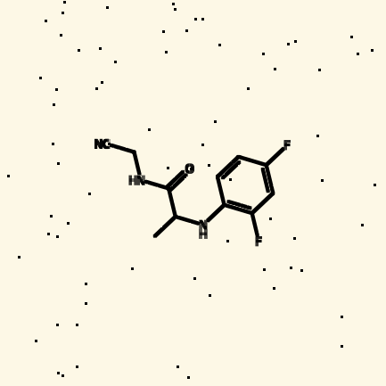 CC(Nc1ccc(F)cc1F)C(=O)NCC#N